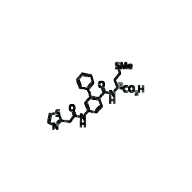 CSCC[C@H](NC(=O)c1ccc(NC(=O)Cc2nccs2)cc1-c1ccccc1)C(=O)O